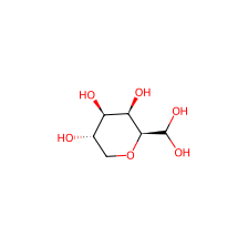 OC(O)[C@H]1OC[C@H](O)[C@@H](O)[C@H]1O